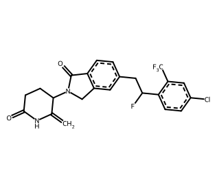 C=C1NC(=O)CCC1N1Cc2cc(CC(F)c3ccc(Cl)cc3C(F)(F)F)ccc2C1=O